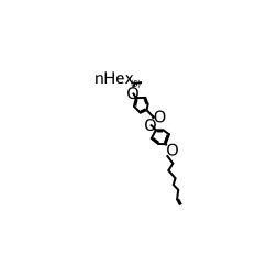 C=CCCCCCCOc1ccc(OC(=O)c2ccc(O[C@@H](C)CCCCCC)cc2)cc1